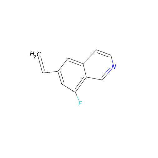 C=Cc1cc(F)c2cnccc2c1